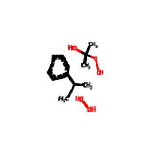 CC(C)(O)OO.CC(C)c1ccccc1.OO